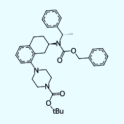 C[C@@H](c1ccccc1)N(C(=O)OCc1ccccc1)[C@@H]1CCc2cccc(N3CCN(C(=O)OC(C)(C)C)CC3)c2C1